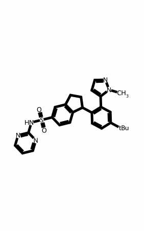 Cn1nccc1-c1cc(C(C)(C)C)ccc1C1CCc2cc(S(=O)(=O)Nc3ncccn3)ccc21